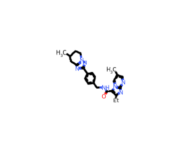 CCc1nc2ncc(C)cn2c1C(=O)NCc1ccc(-c2nc3n(n2)CCC(C)C3)cc1